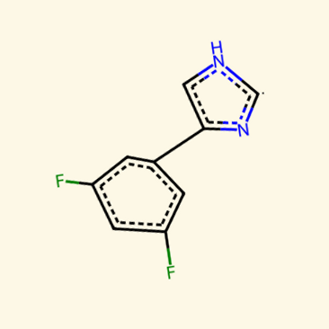 Fc1cc(F)cc(-c2c[nH][c]n2)c1